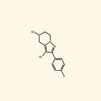 N#CB1CCn2nc(-c3ccc(F)cc3)c(C#N)c2C1